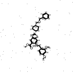 COC(=O)c1cc2nc([C@H]3CC[C@H](COCc4ccccc4)CC3)sc2cc1NCc1ccc(OC)cc1OC